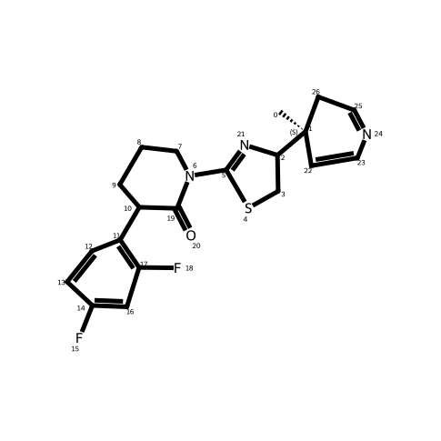 C[C@@]1(C2CSC(N3CCCC(c4ccc(F)cc4F)C3=O)=N2)C=CN=CC1